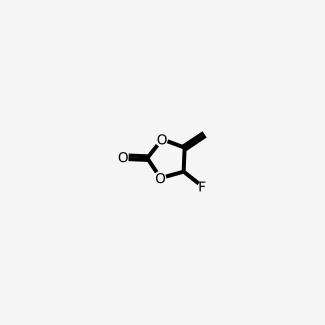 C=C1OC(=O)OC1F